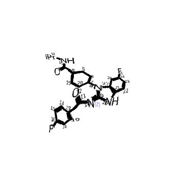 CC(C)NC(=O)C1CCC(n2/c(=N\C(=O)c3ccc(F)cc3)[nH]c3ccc(F)cc32)CC1